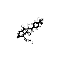 C=C=C1C2CC2CC2C(=O)N(NC(=O)c3ccc(C(F)(F)F)cc3)C(=O)C12